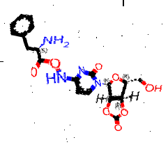 N[C@@H](Cc1ccccc1)C(=O)ONc1ccn([C@@H]2O[C@H](CO)[C@H]3OC(=O)O[C@H]32)c(=O)n1